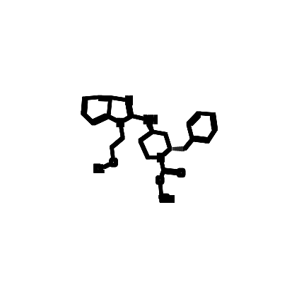 CCOCCn1c(N[C@@H]2CCN(C(=O)OC(C)(C)C)[C@@H](Cc3ccccc3)C2)nc2ccccc21